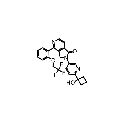 O=C1c2ccnc(-c3ccccc3OCC(F)(F)F)c2CN1c1ccc(C2(O)CCC2)nc1